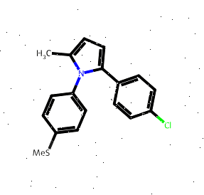 CSc1ccc(-n2c(C)ccc2-c2ccc(Cl)cc2)cc1